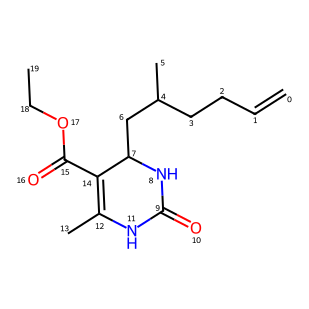 C=CCCC(C)CC1NC(=O)NC(C)=C1C(=O)OCC